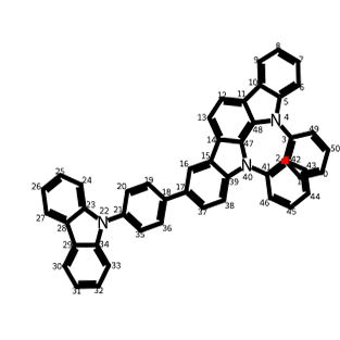 c1ccc(-n2c3ccccc3c3ccc4c5cc(-c6ccc(-n7c8ccccc8c8ccccc87)cc6)ccc5n(-c5ccccc5)c4c32)cc1